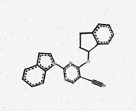 N#Cc1cnc(-n2ccc3ccccc32)nc1OC1CCc2ccccc21